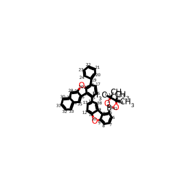 CC1(C)OB(c2cccc3oc4ccc(-c5ccc(-c6ccccc6)c6oc7cc8ccccc8cc7c56)cc4c23)OC1(C)C